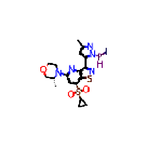 Cc1cc(-c2nsc3c(S(=O)(=O)C4CC4)cc(N4CCOC[C@H]4C)nc23)n(PI)n1